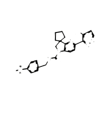 CCS(=O)(=O)c1ccc(CNC(=O)N2CC3(CCCC3)c3nc(-c4nnccc4C(F)(F)F)ccc32)cc1